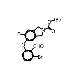 CC(C)(C)OC(=O)N1Cc2cc(F)c(Oc3cccc(Br)c3C=O)cc2C1